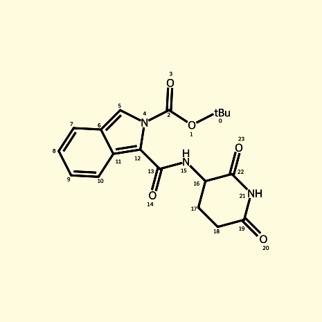 CC(C)(C)OC(=O)n1cc2ccccc2c1C(=O)NC1CCC(=O)NC1=O